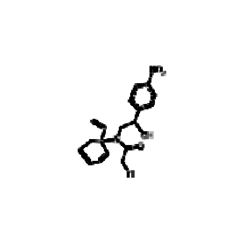 C=C[C@]1(N(CC(O)c2ccc([N+](=O)[O-])cc2)C(=O)CCl)C=CC=CC1